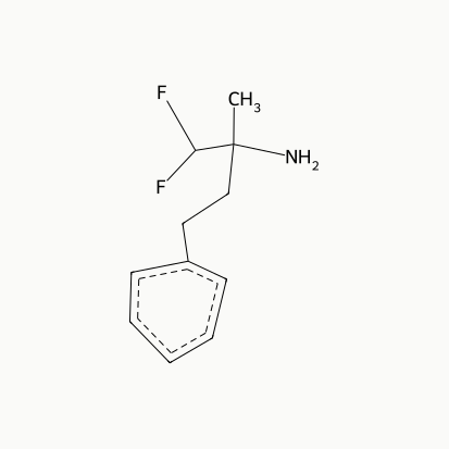 CC(N)(CCc1ccccc1)C(F)F